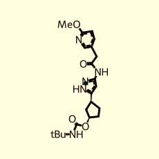 COc1ccc(CC(=O)Nc2cc([C@H]3CC[C@@H](OC(=O)NC(C)(C)C)C3)[nH]n2)cn1